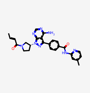 CC=CC(=O)N1CC[C@@H](n2nc(-c3ccc(C(=O)Nc4cc(C)ccn4)cc3)c3c(N)ncnc32)C1